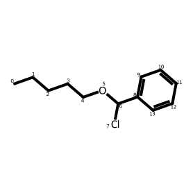 CCCCCOC(Cl)c1ccccc1